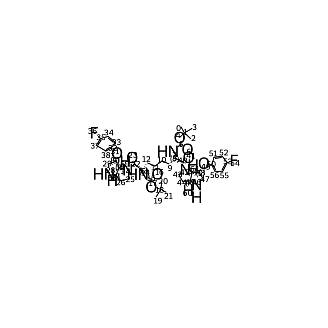 CC(C)(C)OC(=O)N[C@@H](CCCC[C@H](NC(=O)OC(C)(C)C)C(=O)N1CC[C@H]2NC[C@H](Oc3ccc(F)cc3)[C@H]21)C(=O)N1CC[C@H]2NC[C@H](Oc3ccc(F)cc3)[C@H]21